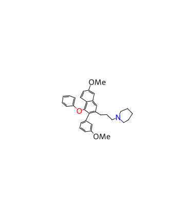 COc1cccc(-c2c(CCCN3CCCCC3)cc3cc(OC)ccc3c2Oc2ccccc2)c1